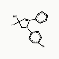 CCC1(O)CN(c2ccc(Br)cc2)C(c2ccccc2)=N1